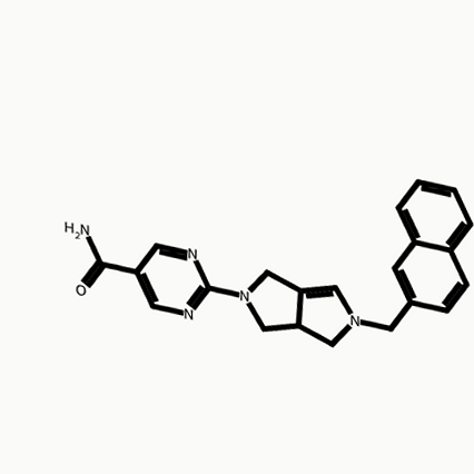 NC(=O)c1cnc(N2CC3=CN(Cc4ccc5ccccc5c4)CC3C2)nc1